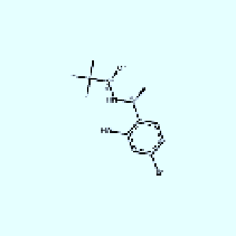 C[C@H](N[S@+]([O-])C(C)(C)C)c1ccc(Br)cc1O